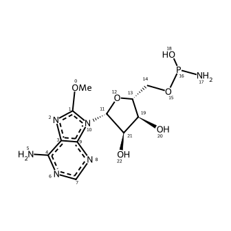 COc1nc2c(N)ncnc2n1[C@@H]1O[C@H](COP(N)O)[C@@H](O)[C@H]1O